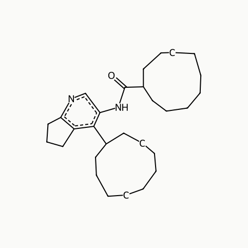 O=C(Nc1cnc2c(c1C1CCCCCCCCC1)CCC2)C1CCCCCCCCC1